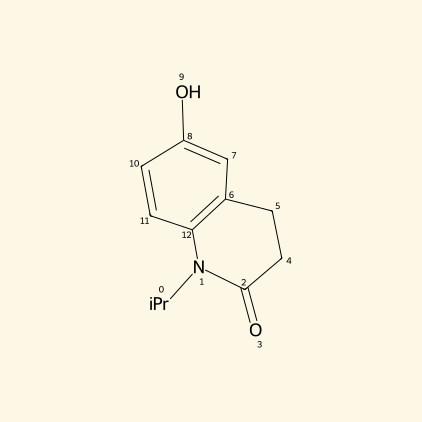 CC(C)N1C(=O)CCc2cc(O)ccc21